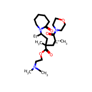 CCC(CC(C)(C[C@@H](C)C(=O)N1CCOCC1)C(=O)OCCN(C)C)N1CCCCCC1=O